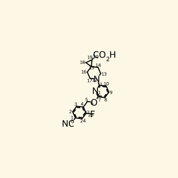 N#Cc1ccc(COc2cccc(N3CCC4(CC3)CC4C(=O)O)n2)c(F)c1